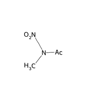 CC(=O)N(C)[N+](=O)[O-]